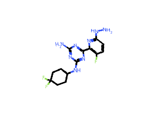 NNc1ccc(F)c(-c2nc(N)nc(NC3CCC(F)(F)CC3)n2)n1